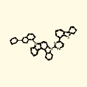 c1ccc(-c2ccc3c(-n4c5ccccc5c5c6c7ccccc7n(-c7nccc(-c8cccc9c8sc8ccccc89)n7)c6ccc54)cccc3c2)cc1